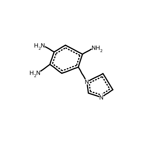 Nc1cc(N)c(-n2ccnc2)cc1N